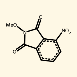 CON1C(=O)c2cccc([N+](=O)[O-])c2C1=O